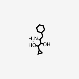 N[C@@H](CC1CCCCC1)C(O)C(O)C1CC1